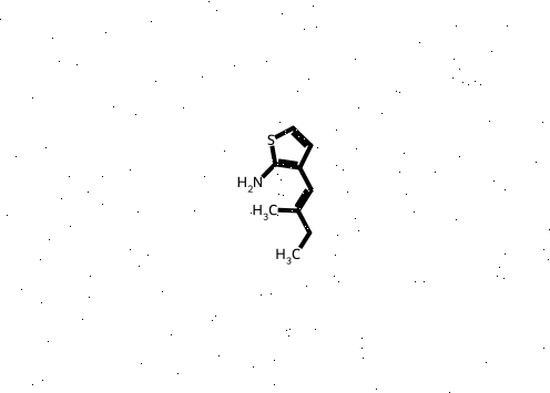 CC/C(C)=C/c1ccsc1N